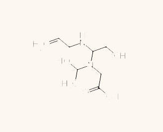 C=CCNC(CC)N(CC(=O)O)C(C)O